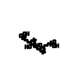 CC1(C)C=C(CCCC2=CC(C)(C)C=C(CCCC(C)(C)C(=O)O)C2O)C(O)C(CCCC(C)(C)C(=O)O)=C1